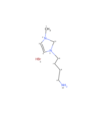 Br.CN1C=CN(CCCCN)C1